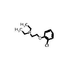 CCN(CC)CCOc1ccc[c]c1Cl